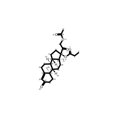 CCC(=O)O[C@]1(C(=O)COC(C)=O)CC[C@H]2[C@@H]3CCC4=CC(=O)CC[C@]4(C)[C@H]3CC[C@@]21C